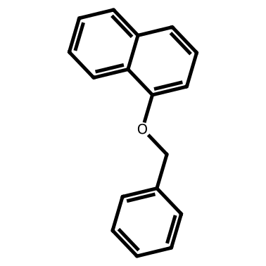 c1ccc(COc2cccc3ccccc23)cc1